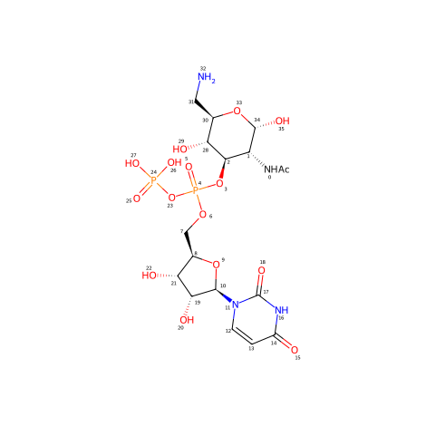 CC(=O)N[C@@H]1[C@@H](OP(=O)(OC[C@H]2O[C@@H](n3ccc(=O)[nH]c3=O)[C@H](O)[C@@H]2O)OP(=O)(O)O)[C@H](O)[C@@H](CN)O[C@@H]1O